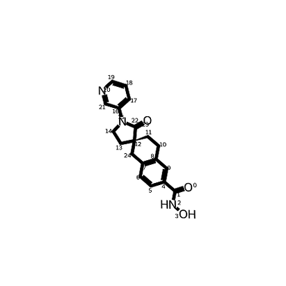 O=C(NO)c1ccc2c(c1)CC[C@]1(CCN(c3cccnc3)C1=O)C2